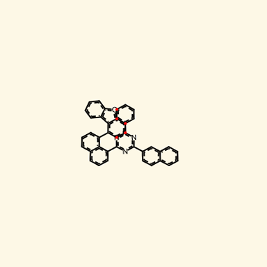 c1ccc(-c2nc(-c3ccc4ccccc4c3)nc(-c3cccc4cccc(-c5cccc6oc7ccccc7c56)c34)n2)cc1